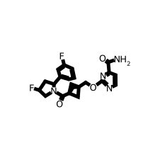 NC(=O)c1ccnc(OCC23CC(C(=O)N4CC(F)CC4c4cccc(F)c4)(C2)C3)n1